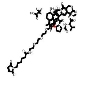 CC[C@@]1(OC(=O)[C@@H](NC(=O)[C@@H]2CCCN2C(=O)[C@H](CC(=O)O)NC(=O)CCOCCOCCOCCNC(=O)CCCCCN2C(=O)C=CC2=O)C(C)C)C(=O)OCc2c1cc1n(c2=O)Cc2c-1nc1cc(F)c(C)c3c1c2[C@@H](N)CC3.O=C(O)C(F)(F)F